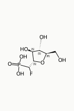 O=P(O)(O)C(F)[C@H]1O[C@H](CO)[C@@H](O)[C@@H]1O